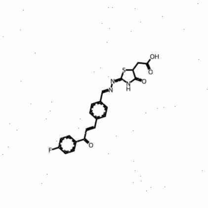 O=C(O)CC1SC(=NN=Cc2ccc(C=CC(=O)c3ccc(F)cc3)cc2)NC1=O